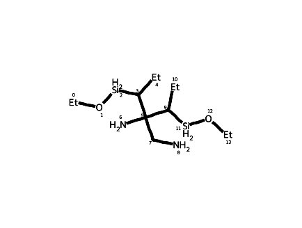 CCO[SiH2]C(CC)C(N)(CN)C(CC)[SiH2]OCC